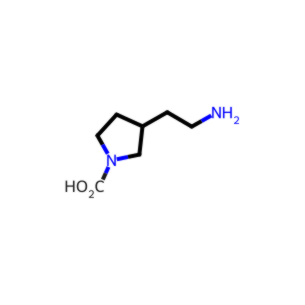 NCCC1CCN(C(=O)O)C1